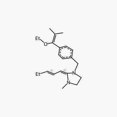 CC/C=C/C=C1\N(C)CCN1Cc1ccc(C(OCC)=C(C)C)cc1